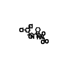 COC(=O)CNC(=O)c1sc(C2=NOC(C)(c3cc(Cl)cc(Cl)c3)C2)c2c1CCCC2